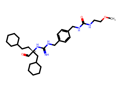 COCCNC(=O)NCc1ccc(CNC(=N)N[C@](C=O)(CCC2CCCCC2)CC2CCCCC2)cc1